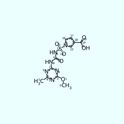 COc1nc(C)nc(NC(=O)NS(=O)(=O)n2ccc(C(=O)O)c2)n1